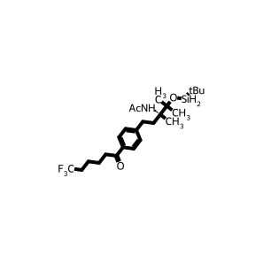 CC(=O)N[C@](C)(CCc1ccc(C(=O)CCCCC(F)(F)F)cc1)C(C)(C)O[SiH2]C(C)(C)C